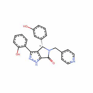 O=C1c2[nH]nc(-c3ccccc3O)c2[C@H](c2cccc(O)c2)N1Cc1ccncc1